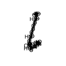 Cc1c(-c2ccc(CC(NC(=O)c3c(Cl)cc(OCCCNC(=O)CCOCCOCCOCCOCCNC(=O)CCN4C(=O)C=CC4=O)cc3Cl)C(=O)O)cc2)c(=O)n(C)c(=O)n1C